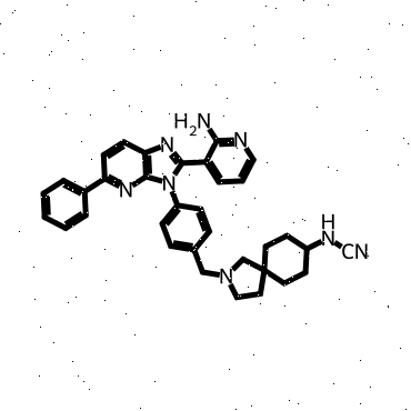 N#CNC1CCC2(CC1)CCN(Cc1ccc(-n3c(-c4cccnc4N)nc4ccc(-c5ccccc5)nc43)cc1)C2